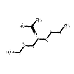 CC(=O)O.CCCOCCOCC